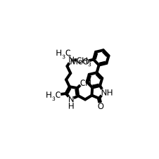 COc1ccccc1-c1ccc2c(c1)NC(=O)C2Cc1[nH]c(C)c(CCCN(C)C)c1C